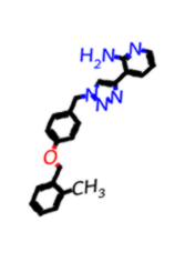 Cc1ccccc1COc1ccc(Cn2cc(-c3cccnc3N)nn2)cc1